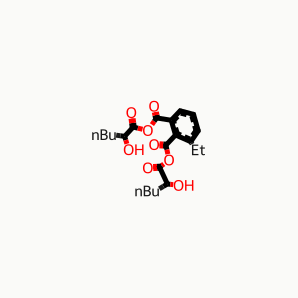 CCCCC(O)C(=O)OC(=O)c1cccc(CC)c1C(=O)OC(=O)C(O)CCCC